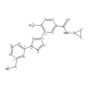 Cc1ccc(C(=O)NC2CC2)cc1-c1cnn(-c2cncc(CC#N)c2)c1